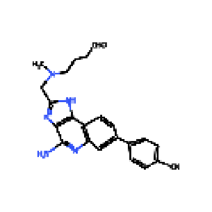 CN(CCCC=O)Cc1nc2c(N)nc3cc(-c4ccc(C#N)cc4)ccc3c2[nH]1